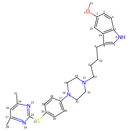 COc1ccc2[nH]cc(CCCCN3CCN(c4ccc(Sc5nc(C)cc(C)n5)cc4)CC3)c2c1